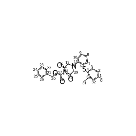 Cc1ccc(Sc2ccccc2N2CC(=O)N(C(=O)OCc3ccccc3)C(=O)C2)c(C)c1